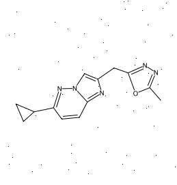 Cc1nnc(Cc2cn3nc(C4CC4)ccc3n2)o1